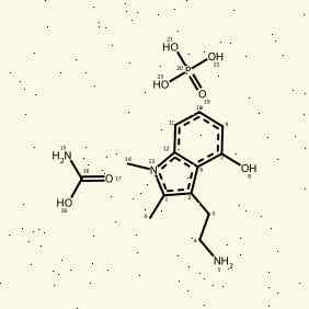 Cc1c(CCN)c2c(O)cccc2n1C.NC(=O)O.O=P(O)(O)O